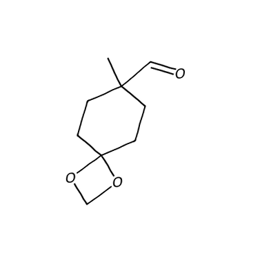 CC1(C=O)CCC2(CC1)OCO2